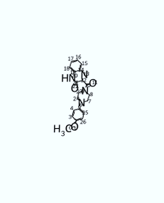 COc1ccc(N2CCN(C(=O)c3nc4ccccc4[nH]c3=O)CC2)cc1